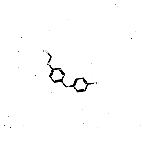 Oc1ccc(Cc2ccc(OCS)cc2)cc1